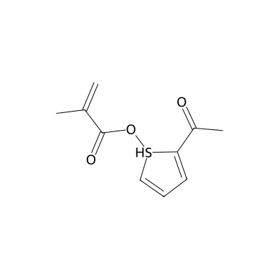 C=C(C)C(=O)O[SH]1C=CC=C1C(C)=O